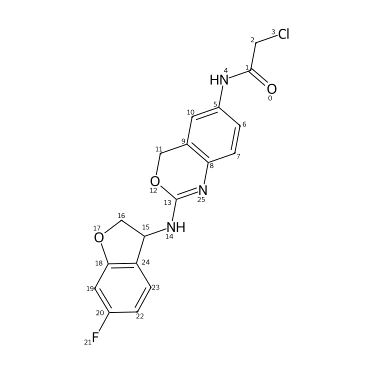 O=C(CCl)Nc1ccc2c(c1)COC(NC1COc3cc(F)ccc31)=N2